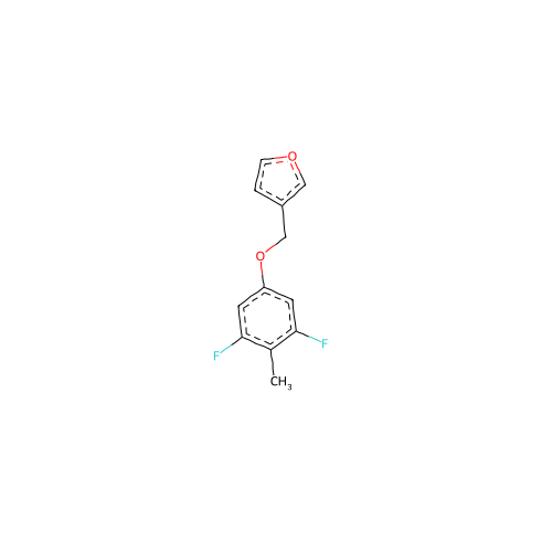 Cc1c(F)cc(OCc2ccoc2)cc1F